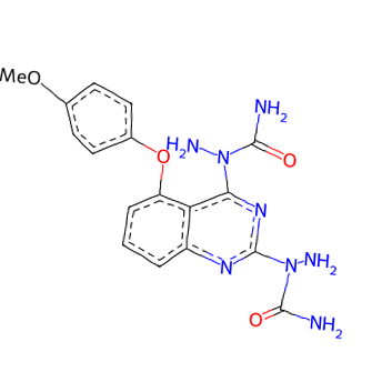 COc1ccc(Oc2cccc3nc(N(N)C(N)=O)nc(N(N)C(N)=O)c23)cc1